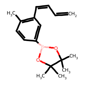 C=C/C=C\c1cc(B2OC(C)(C)C(C)(C)O2)ccc1C